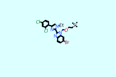 CCn1cc(-c2ccc(Cl)cc2Cl)nc1-c1nc2ccc(Br)cc2n1COCC[Si](C)(C)C